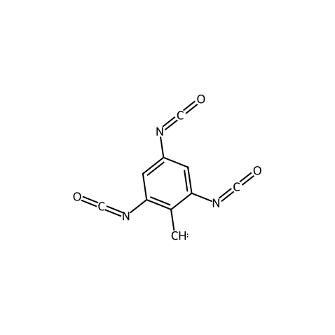 [CH]c1c(N=C=O)cc(N=C=O)cc1N=C=O